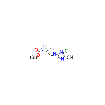 CC(C)(C)OC(=O)NCC1(F)CCN(c2cnc(C#N)c(Cl)n2)CC1